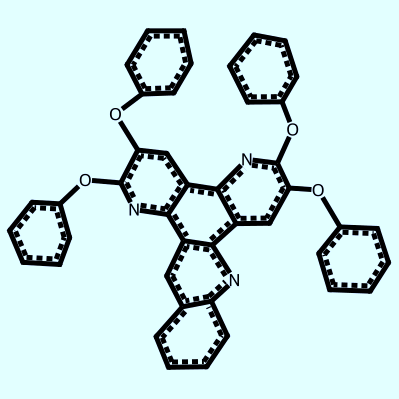 c1ccc(Oc2cc3c(nc2Oc2ccccc2)c2cc(Oc4ccccc4)c(Oc4ccccc4)nc2c2cc4ccccc4nc32)cc1